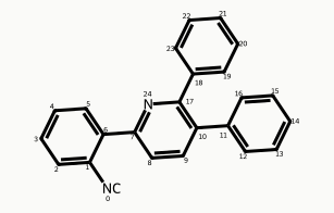 [C-]#[N+]c1ccccc1-c1ccc(-c2ccccc2)c(-c2ccccc2)n1